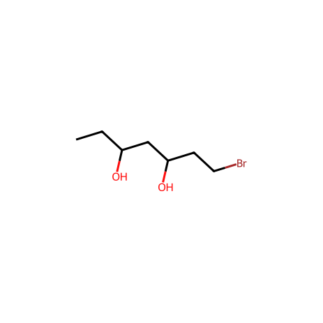 CCC(O)CC(O)CCBr